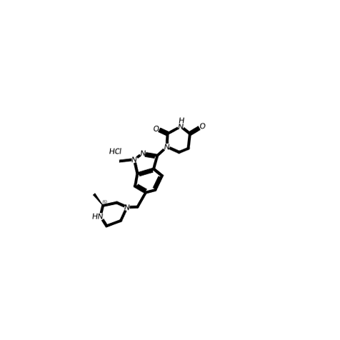 C[C@H]1CN(Cc2ccc3c(N4CCC(=O)NC4=O)nn(C)c3c2)CCN1.Cl